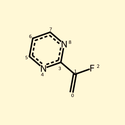 C=C(F)c1ncccn1